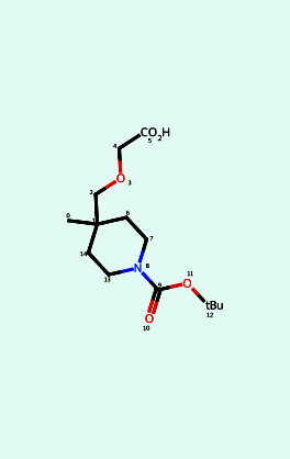 CC1(COCC(=O)O)CCN(C(=O)OC(C)(C)C)CC1